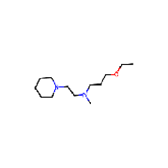 CCOCCCN(C)CCN1CCCCC1